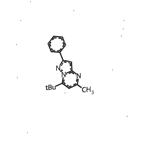 Cc1cc(C(C)(C)C)n2nc(-c3ccccc3)cc2n1